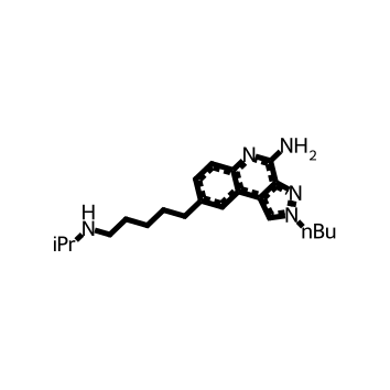 CCCCn1cc2c(n1)c(N)nc1ccc(CCCCCNC(C)C)cc12